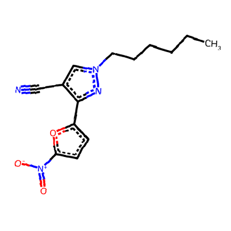 CCCCCCn1cc(C#N)c(-c2ccc([N+](=O)[O-])o2)n1